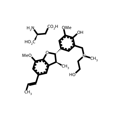 C/C=C/c1cc(OC)c2c(c1)[C@H](C)[C@@H](c1cc(CN(C)CCO)c(O)c(OC)c1)O2.N[C@@H](CC(=O)O)C(=O)O